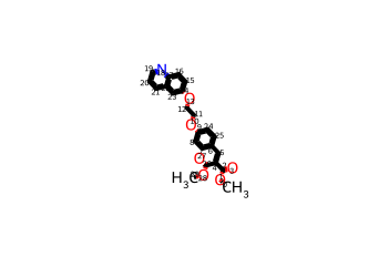 COC(=O)C(=Cc1ccc(OCCOc2ccc3ncccc3c2)cc1)C(=O)OC